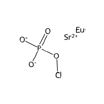 O=P([O-])([O-])OCl.[Eu].[Sr+2]